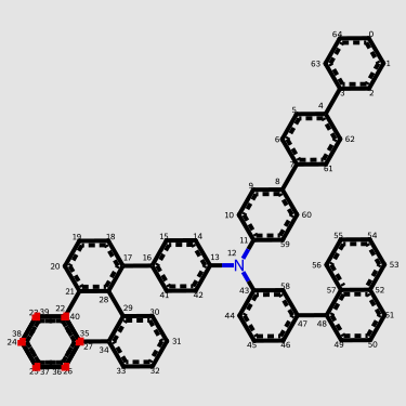 c1ccc(-c2ccc(-c3ccc(N(c4ccc(-c5cccc(-c6ccccc6)c5-c5ccccc5-c5ccccc5)cc4)c4cccc(-c5cccc6ccccc56)c4)cc3)cc2)cc1